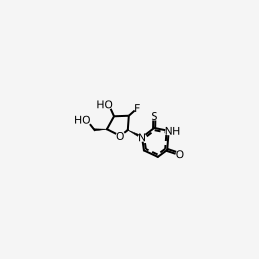 O=c1ccn([C@H]2O[C@@H](CO)C(O)C2F)c(=S)[nH]1